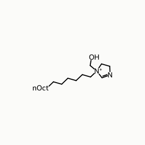 CCCCCCCCCCCCCC[N+]1(CO)C=NCC1